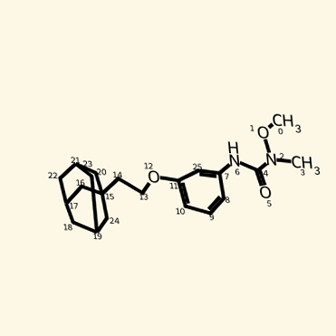 CON(C)C(=O)Nc1cccc(OCCC23CC4CC(CC(C4)C2)C3)c1